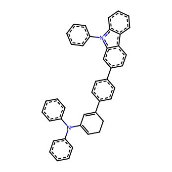 C1=C(c2ccc(-c3ccc4c5ccccc5n(-c5ccccc5)c4c3)cc2)CCC=C1N(c1ccccc1)c1ccccc1